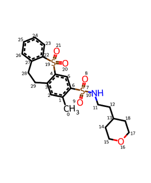 Cc1cc2c(cc1S(=O)(=O)NCCC1CCOCC1)S(=O)(=O)c1ccccc1CC2